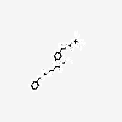 CCOC(=O)C(CCNC(=O)OCc1ccccc1)Oc1ccc(C(=O)CNC(=O)OC(C)(C)C)cc1